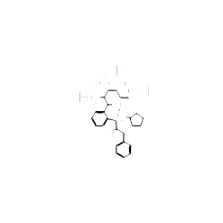 OCC1OC(c2cccc3c2C(OC2CCCC2)C(Cc2ccccc2)O3)C(O)C(O)C1O